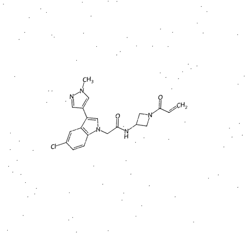 C=CC(=O)N1CC(NC(=O)Cn2cc(-c3cnn(C)c3)c3cc(Cl)ccc32)C1